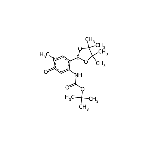 Cn1cc(B2OC(C)(C)C(C)(C)O2)c(NC(=O)OC(C)(C)C)cc1=O